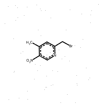 Cc1cc(CBr)ncc1[N+](=O)[O-]